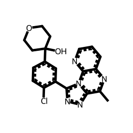 Cc1nc2cccnc2n2c(-c3cc(C4(O)CCOCC4)ccc3Cl)nnc12